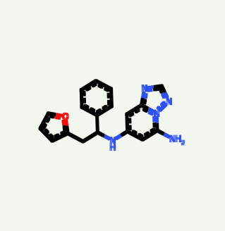 Nc1cc(NC(Cc2ccco2)c2ccccc2)cc2ncnn12